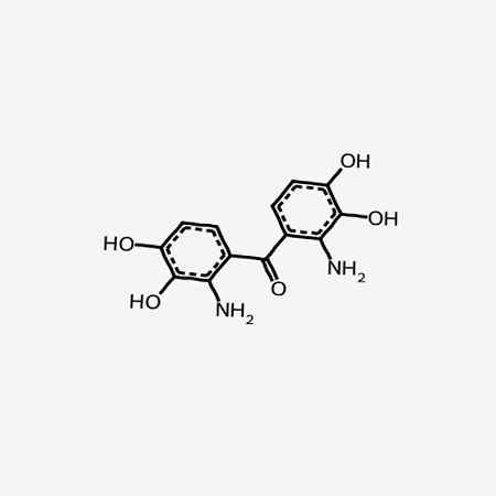 Nc1c(C(=O)c2ccc(O)c(O)c2N)ccc(O)c1O